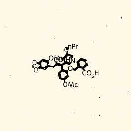 CCCOc1cncc(C(=C(Cc2cc3c(cc2OC)OCO3)C(=O)O)c2ccc(OC)cc2OCc2ccccc2C(=O)O)c1